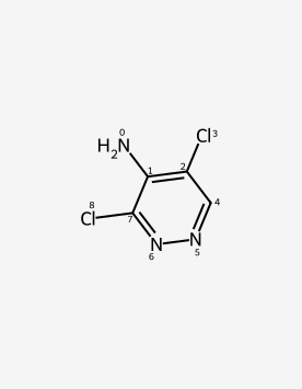 Nc1c(Cl)cnnc1Cl